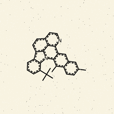 Cc1ccc2c(C)c3c(cc2c1)c1nccc2ccc4c5cccc(C(C)(C)C)c5n3c4c21